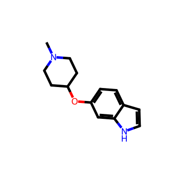 CN1CCC(Oc2ccc3cc[nH]c3c2)CC1